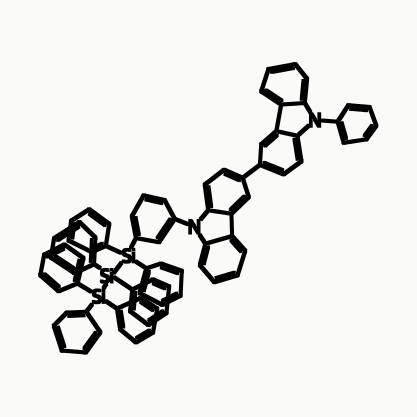 c1ccc(-n2c3ccccc3c3cc(-c4ccc5c(c4)c4ccccc4n5-c4cccc([Si](c5ccccc5)(c5ccccc5)[Si](c5ccccc5)(c5ccccc5)[Si](c5ccccc5)(c5ccccc5)c5ccccc5)c4)ccc32)cc1